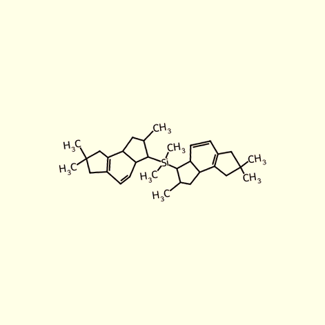 CC1CC2C3=C(C=CC2C1[Si](C)(C)C1C(C)CC2C4=C(C=CC21)CC(C)(C)C4)CC(C)(C)C3